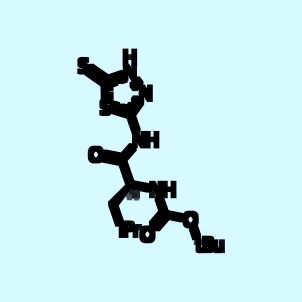 CC(C)C[C@H](NC(=O)OC(C)(C)C)C(=O)Nc1n[nH]c(=S)s1